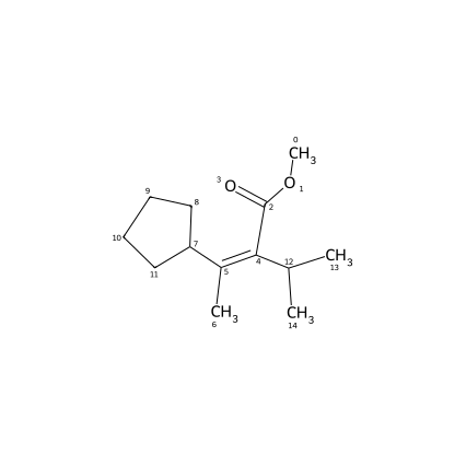 COC(=O)C(=C(C)C1CCCC1)C(C)C